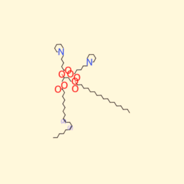 CCCCC/C=C\C/C=C\CCCCCCCC(=O)OCC(OC(=O)CCCCN1CCCCC1)C(COC(=O)CCCCCCCCCCCCCCCC)OC(=O)CCCCN1CCCCC1